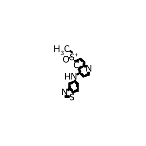 CC[S+]([O-])c1ccc2nccc(Nc3ccc4scnc4c3)c2c1